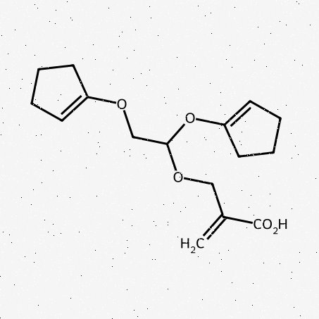 C=C(COC(COC1=CCCC1)OC1=CCCC1)C(=O)O